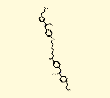 C/C(=C\c1ccc(NCCSSCCNc2ccc(/C=C(\C)c3ccn(CCO)c3)cc2)cc1)c1cc[n+](CCN=O)cc1